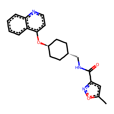 Cc1cc(C(=O)NC[C@H]2CC[C@H](Oc3ccnc4ccccc34)CC2)no1